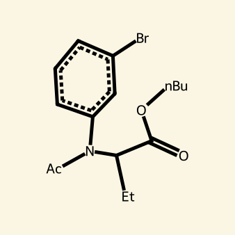 CCCCOC(=O)C(CC)N(C(C)=O)c1cccc(Br)c1